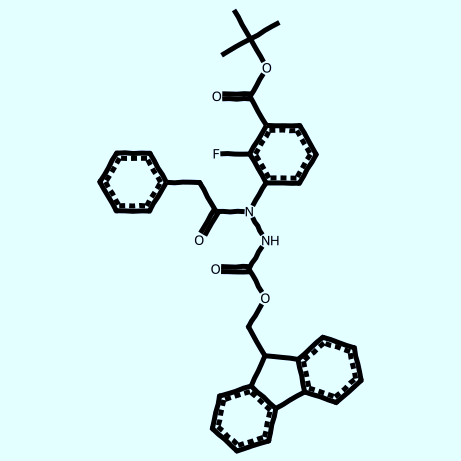 CC(C)(C)OC(=O)c1cccc(N(NC(=O)OCC2c3ccccc3-c3ccccc32)C(=O)Cc2ccccc2)c1F